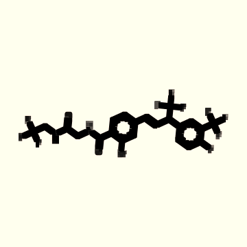 O=C(CNC(=O)c1ccc(/C=C/C(c2ccc(F)c(C(F)(F)F)c2)C(F)(F)F)cc1Br)NCC(F)(F)F